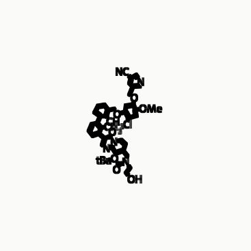 COc1cc(Cl)c(OCc2cccc(-c3cccc(-c4cnc5cc(CN(CCO)C(=O)OC(C)(C)C)ccn5c4=O)c3C)c2C)cc1OCc1cncc(C#N)c1